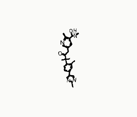 CNC(=O)c1cc(CC(=O)C(C)(C)c2ccc(-c3cnc(C)nc3)cc2C)cnc1C